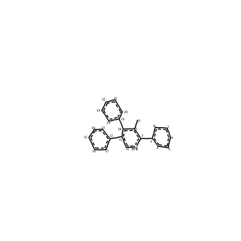 [CH2]c1c(-c2ccccc2)ncc(-c2ccccc2)c1-c1ccccc1